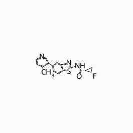 Cc1ccncc1-c1ccc2sc(NC(=O)[C@@H]3C[C@@H]3F)nc2c1